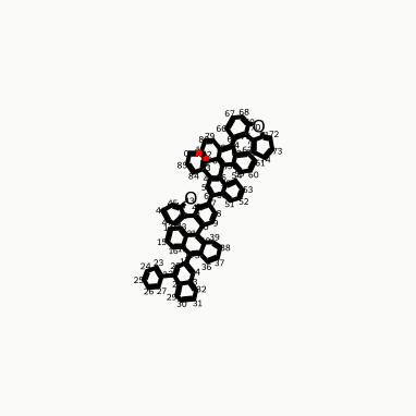 c1ccc(-c2cc(-c3ccc(-c4c5ccccc5c(-c5cc(-c6ccccc6)c6ccccc6c5)c5ccccc45)c4c3oc3ccccc34)c3ccccc3c2-c2c3ccccc3c(-c3cccc4oc5ccccc5c34)c3ccccc23)cc1